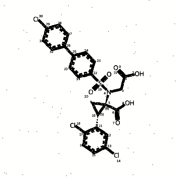 O=C(O)CN([C@]1(C(=O)O)C[C@H]1c1cc(Cl)ccc1Cl)S(=O)(=O)c1ccc(-c2ccc(Cl)cc2)cc1